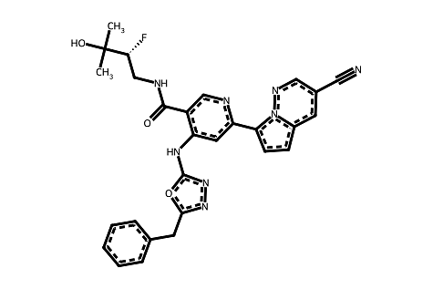 CC(C)(O)[C@H](F)CNC(=O)c1cnc(-c2ccc3cc(C#N)cnn23)cc1Nc1nnc(Cc2ccccc2)o1